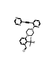 O=Cc1cccc(N2CCN(c3ncccc3C#Cc3cnccn3)CC2)c1C(F)(F)F